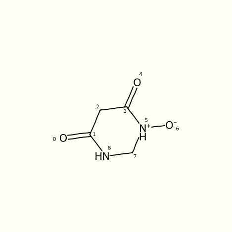 O=C1CC(=O)[NH+]([O-])CN1